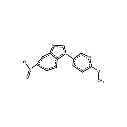 COc1ccc(-n2cnc3cc([N+](=O)[O-])ccc32)cn1